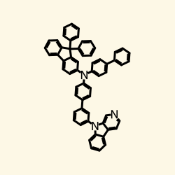 c1ccc(-c2ccc(N(c3ccc(-c4cccc(-n5c6ccccc6c6ccncc65)c4)cc3)c3ccc4c(c3)C(c3ccccc3)(c3ccccc3)c3ccccc3-4)cc2)cc1